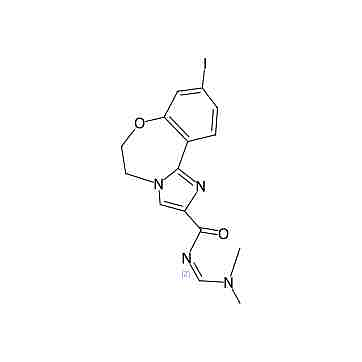 CN(C)/C=N\C(=O)c1cn2c(n1)-c1ccc(I)cc1OCC2